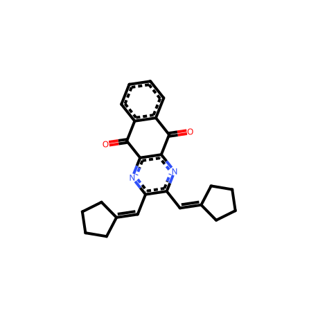 O=C1c2ccccc2C(=O)c2nc(C=C3CCCC3)c(C=C3CCCC3)nc21